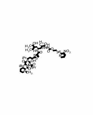 C/C=C(/C[C@@H](C[C@H](C)C(=O)NNC(=O)OCCSSc1ncccc1[N+](=O)[O-])NC(=O)c1csc([C@H](O)C[C@@H](C(C)C)N(COC(=O)CCC)C(=O)[C@@H](NC(=O)[C@H]2CCCCN2C)C(C)CC)n1)[C@@H](C)O